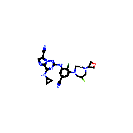 N#Cc1cc(Nc2nc(NC3CC3)c3ncc(C#N)n3n2)c(Cl)c(N2CCN(C3COC3)CC(F)C2)c1